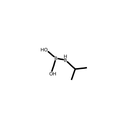 CC(C)BB(O)O